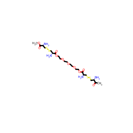 COC(=O)[C@H](N)CSSC[C@@H](N)C(=O)OCCOCCOCCOCCOC(=O)[C@@H](N)CSSC[C@H](N)C(C)=O